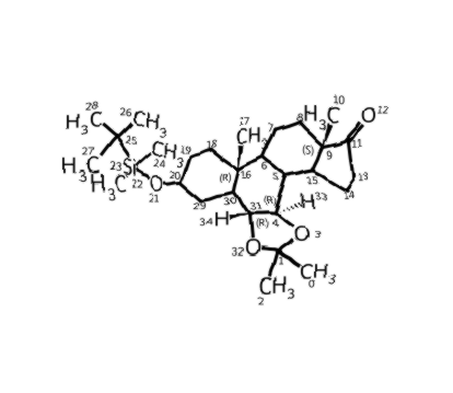 CC1(C)O[C@@H]2C3C(CC[C@]4(C)C(=O)CCC34)[C@@]3(C)CCC(O[Si](C)(C)C(C)(C)C)CC3[C@H]2O1